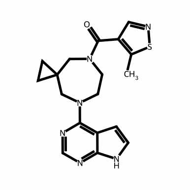 Cc1sncc1C(=O)N1CCN(c2ncnc3[nH]ccc23)CC2(CC2)C1